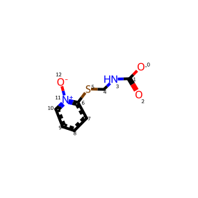 [O]C(=O)NCSc1cccc[n+]1[O-]